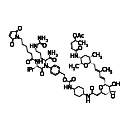 CC(=O)O[C@@H](C)/C=C\C(=O)N[C@@H]1C[C@H](C)[C@H](C/C=C(C)/C=C/[C@H]2O[C@H](CC(=O)NC3CCC(NC(=O)OCc4ccc(N(C(=O)[C@@H](NC(=O)CCCCCN5C(=O)C=CC5=O)C(C)C)[C@@H](CCCNC(N)=O)C(N)=O)cc4)CC3)C[C@@]3(CO3)[C@@H]2O)O[C@@H]1C